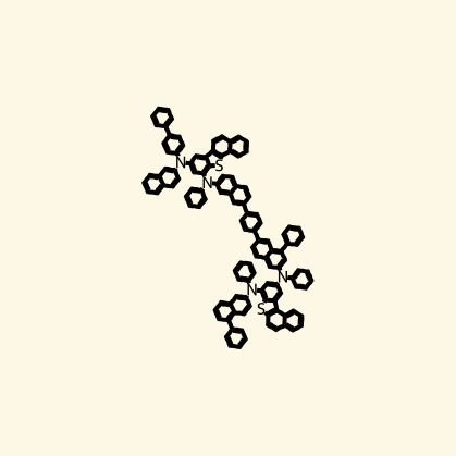 c1ccc(-c2ccc(N(c3ccc4ccccc4c3)c3cc(N(c4ccccc4)c4ccc5ccc(-c6ccc(-c7ccc8cc(N(c9ccccc9)c9cc(N(c%10ccccc%10)c%10ccc%11c(-c%12ccccc%12)cccc%11c%10)c%10sc%11ccc%12ccccc%12c%11c%10c9)cc(-c9ccccc9)c8c7)cc6)cc5c4)c4sc5c6ccccc6ccc5c4c3)cc2)cc1